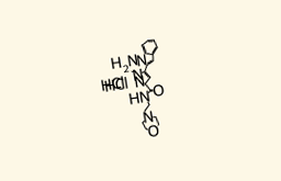 Cl.Cl.Cn1nc(C(=O)NCCN2CCOCC2)cc1-c1cc2ccccc2n1N